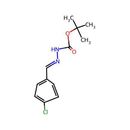 CC(C)(C)OC(=O)NN=Cc1ccc(Cl)cc1